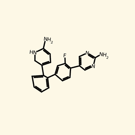 NC1=CC=C(c2ccccc2-c2ccc(-c3cnc(N)nc3)c(F)c2)CN1